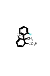 CC1(c2ccccc2F)C(C(=O)O)=CC=CC1C(=O)O